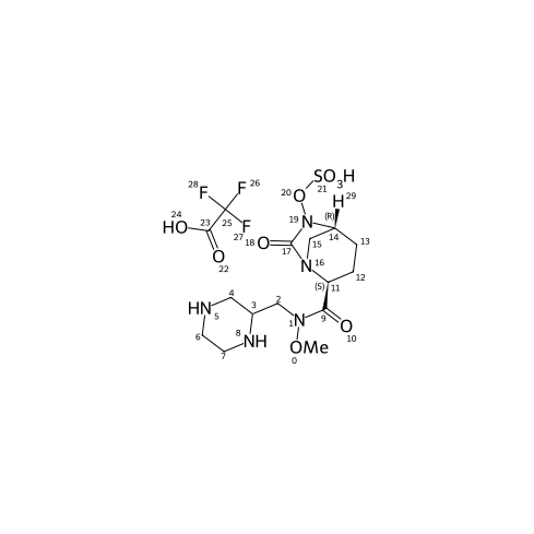 CON(CC1CNCCN1)C(=O)[C@@H]1CC[C@@H]2CN1C(=O)N2OS(=O)(=O)O.O=C(O)C(F)(F)F